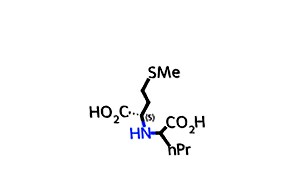 CCCC(N[C@@H](CCSC)C(=O)O)C(=O)O